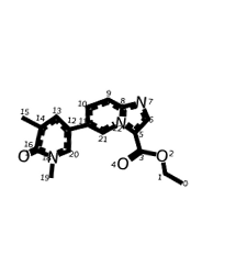 CCOC(=O)c1cnc2ccc(-c3cc(C)c(=O)n(C)c3)cn12